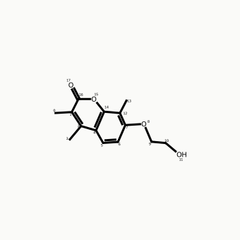 Cc1c(C)c2ccc(OCCO)c(C)c2oc1=O